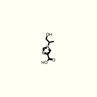 CC(CO)n1cnc(C(=O)O)c1